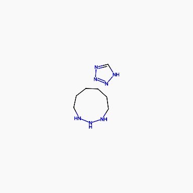 C1CCCNNNCC1.c1nnn[nH]1